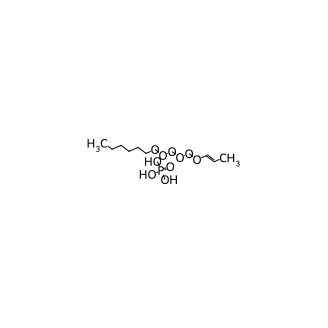 CC=COOOOOOCCCCCC.O=P(O)(O)O